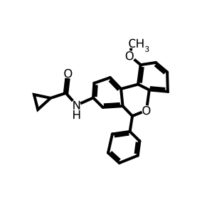 COc1cccc2c1-c1ccc(NC(=O)C3CC3)cc1C(c1ccccc1)O2